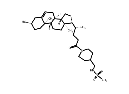 C[C@H](CCC(=O)N1CCC(CNS(C)(=O)=O)CC1)[C@H]1CC[C@H]2[C@@H]3CC=C4C[C@@H](O)CC[C@]4(C)[C@H]3CC[C@]12C